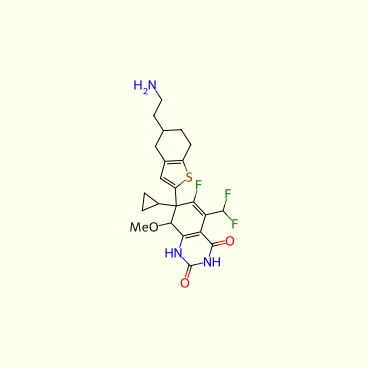 COC1c2[nH]c(=O)[nH]c(=O)c2C(C(F)F)=C(F)C1(c1cc2c(s1)CCC(CCN)C2)C1CC1